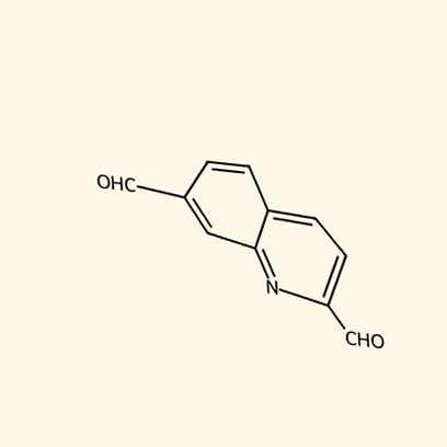 O=Cc1ccc2ccc(C=O)nc2c1